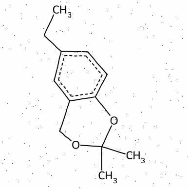 CCc1ccc2c(c1)COC(C)(C)O2